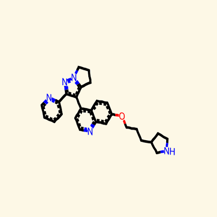 c1ccc(-c2nn3c(c2-c2ccnc4cc(OCCCC5CCNC5)ccc24)CCC3)nc1